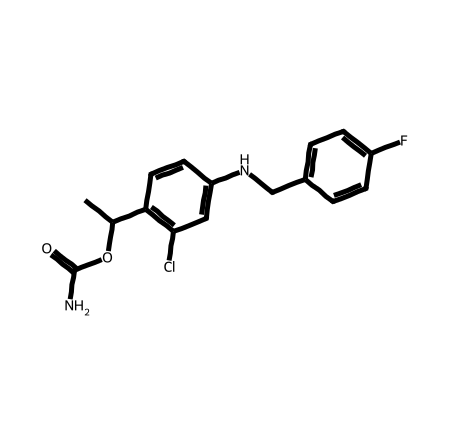 CC(OC(N)=O)c1ccc(NCc2ccc(F)cc2)cc1Cl